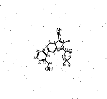 Cc1c(C#N)c2ccccc2n1C(=O)OC(C)(C)C.OCc1ccccc1